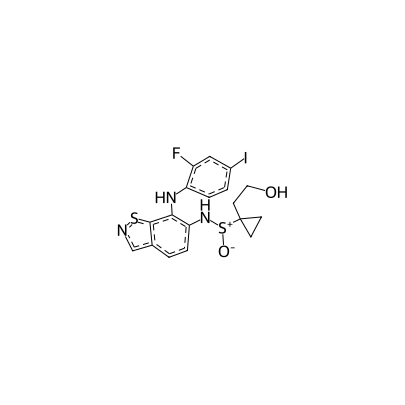 [O-][S+](Nc1ccc2cnsc2c1Nc1ccc(I)cc1F)C1(CCO)CC1